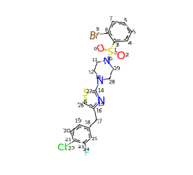 O=S(=O)(c1ccccc1Br)N1CCN(c2nc(Cc3ccc(Cl)c(F)c3)cs2)CC1